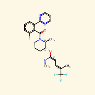 C=N/C(=C\C=C(/C)C(F)(F)F)O[C@@H]1CCCN(C(=O)c2c(F)cccc2-c2ncccn2)[C@H]1C